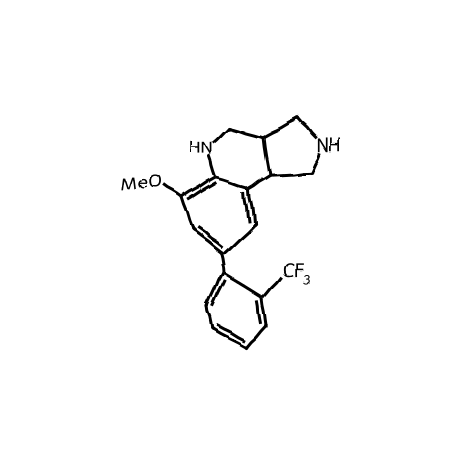 COc1cc(-c2ccccc2C(F)(F)F)cc2c1NCC1CNCC21